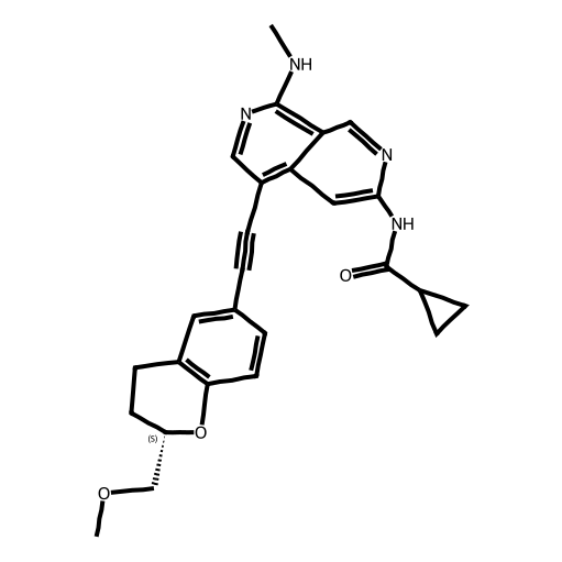 CNc1ncc(C#Cc2ccc3c(c2)CC[C@@H](COC)O3)c2cc(NC(=O)C3CC3)ncc12